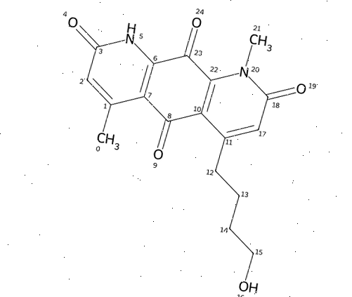 Cc1cc(=O)[nH]c2c1C(=O)c1c(CCCCO)cc(=O)n(C)c1C2=O